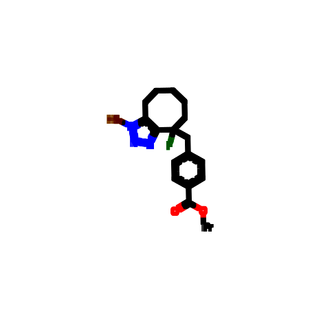 CC(C)OC(=O)c1ccc(CC2(F)CCCCCc3c2nnn3S)cc1